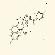 Cc1ccc([S+]([O-])NC(=O)[C@@]2(O)CCC3C4CCC5=CC(=O)C=CC5(C)C4[C@@H](O)CC32C)cc1